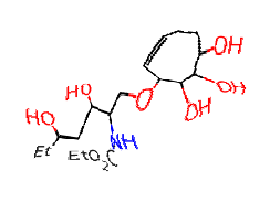 CCOC(=O)NC(COC1/C=C\CCC(O)C(O)C1O)C(O)CC(O)CC